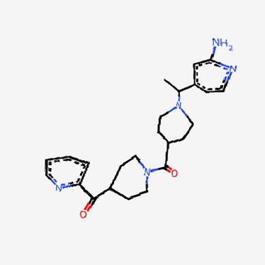 CC(c1ccnc(N)c1)N1CCC(C(=O)N2CCC(C(=O)c3ccccn3)CC2)CC1